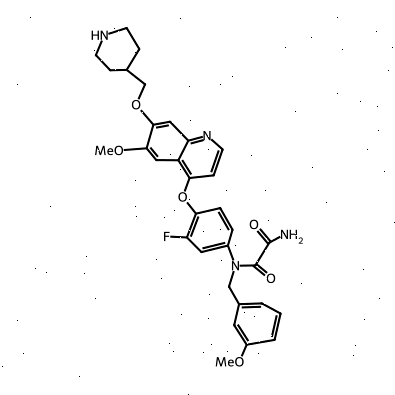 COc1cccc(CN(C(=O)C(N)=O)c2ccc(Oc3ccnc4cc(OCC5CCNCC5)c(OC)cc34)c(F)c2)c1